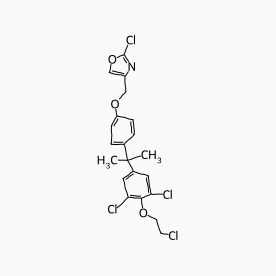 CC(C)(c1ccc(OCc2coc(Cl)n2)cc1)c1cc(Cl)c(OCCCl)c(Cl)c1